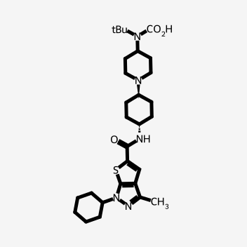 Cc1nn(C2CCCCC2)c2sc(C(=O)N[C@H]3CC[C@H](N4CCC(N(C(=O)O)C(C)(C)C)CC4)CC3)cc12